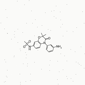 CC1(C)Oc2cc(NS(C)(=O)=O)ccc2N(c2cccc(N)c2)C1=O